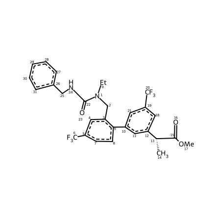 CCN(Cc1cc(C(F)(F)F)ccc1-c1cc([C@@H](C)C(=O)OC)cc(C(F)(F)F)c1)C(=O)NCc1ccccc1